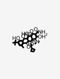 Cc1cc(C(C)(C)C)c(O)c2c1[C@H](C)[C@@H]1C(=C(O)[C@]3(O)C(=O)C(C(N)=O)=C(O)[C@@H](N(C)C)[C@@H]3[C@H]1OC(=O)C1CCC1)C2=O